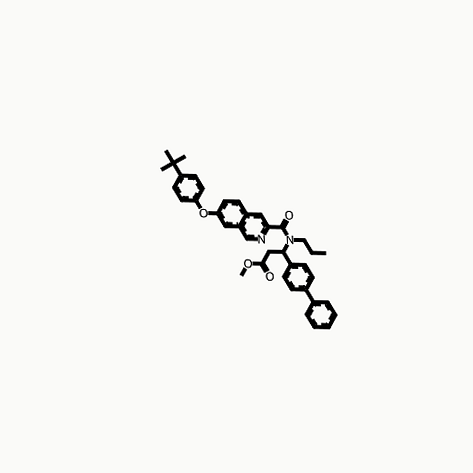 CCCN(C(=O)c1cc2ccc(Oc3ccc(C(C)(C)C)cc3)cc2cn1)C(CC(=O)OC)c1ccc(-c2ccccc2)cc1